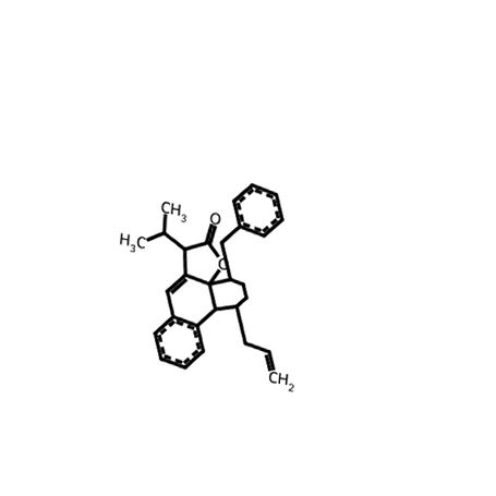 C=CCC1CCC(Cc2ccccc2)C23OC(=O)C(C(C)C)C2=Cc2ccccc2C13